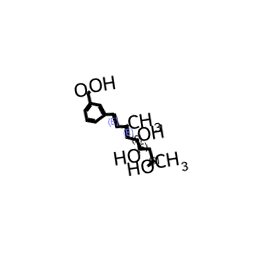 CC(/C=C/c1cccc(C(=O)O)c1)=C\[C@H](O)[C@@H](O)C[C@H](C)O